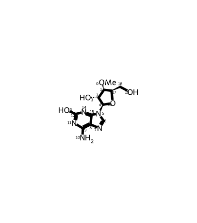 CO[C@H]1[C@@H](O)[C@H](n2cnc3c(N)nc(O)nc32)O[C@@H]1CO